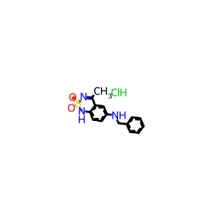 CC1=NS(=O)(=O)Nc2ccc(NCc3ccccc3)cc21.Cl